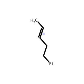 C/C=C/[CH]CCC